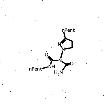 CCCCCNC(=O)N(C(N)=O)N1CCC(CCCCC)=N1